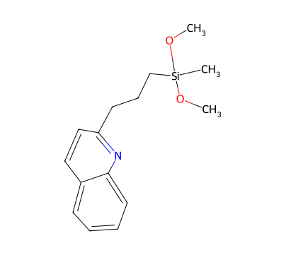 CO[Si](C)(CCCc1ccc2ccccc2n1)OC